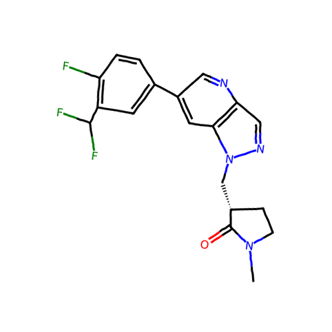 CN1CC[C@@H](Cn2ncc3ncc(-c4ccc(F)c(C(F)F)c4)cc32)C1=O